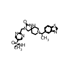 C[C@H](c1ccc2scnc2c1)N1CCC2(CC1)CN(Cc1ncc(S(C)(=N)=O)cn1)C(=O)N2